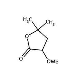 COC1CC(C)(C)OC1=O